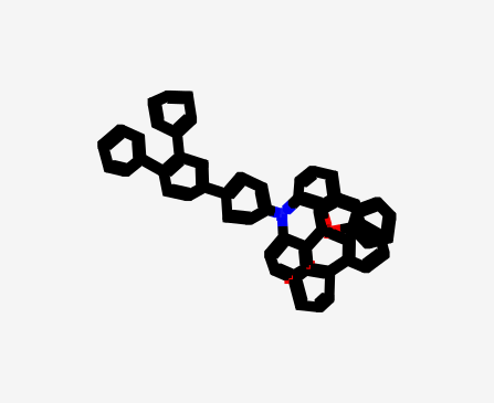 c1ccc(-c2ccc(-c3ccc(N(c4ccccc4-c4cccc5cccc(-c6ccccc6)c45)c4cccc5c4oc4ccccc45)cc3)cc2-c2ccccc2)cc1